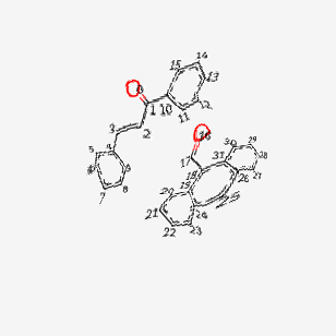 O=C(C=Cc1ccccc1)c1ccccc1.O=Cc1c2ccccc2cc2ccccc12